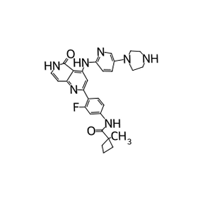 CC1(C(=O)Nc2ccc(-c3cc(Nc4ccc(N5CCNCC5)cn4)c4c(=O)[nH]ccc4n3)c(F)c2)CCC1